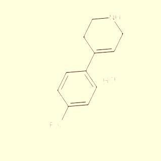 Cl.FC(F)(F)c1ccc(C2=CCNCC2)cc1